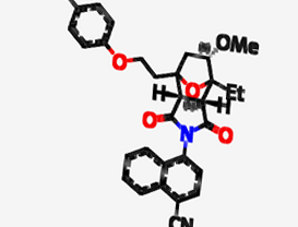 CCC12OC(CCOc3ccc(C#N)cc3)(C[C@@H]1OC)[C@H]1C(=O)N(c3ccc(C#N)c4ccccc34)C(=O)[C@H]12